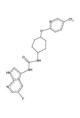 O=C(Nc1c[nH]c2ncc(F)cc12)NC1CCC(Oc2ccc(C(F)(F)F)cn2)CC1